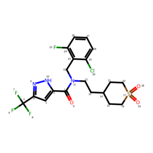 O=C(c1cc(C(F)(F)F)n[nH]1)N(CCC1CCS(=O)(=O)CC1)Cc1c(F)cccc1Cl